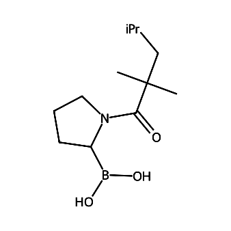 CC(C)CC(C)(C)C(=O)N1CCCC1B(O)O